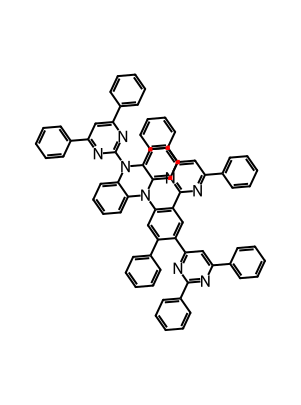 c1ccc(-c2cc(-c3cc(-c4nc(-c5ccccc5)cc(-c5ccccc5)n4)c(N4c5ccccc5N(c5nc(-c6ccccc6)cc(-c6ccccc6)n5)c5ccccc54)cc3-c3ccccc3)nc(-c3ccccc3)n2)cc1